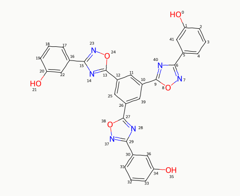 Oc1cccc(-c2noc(-c3cc(-c4nc(-c5cccc(O)c5)no4)cc(-c4nc(-c5cccc(O)c5)no4)c3)n2)c1